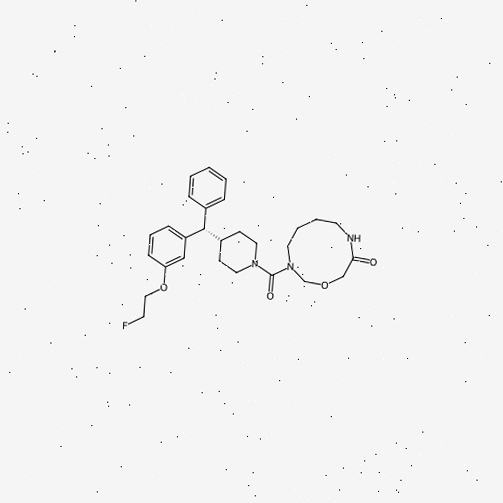 O=C1COCN(C(=O)N2CCC([C@@H](c3ccccc3)c3cccc(OCCF)c3)CC2)CCCCN1